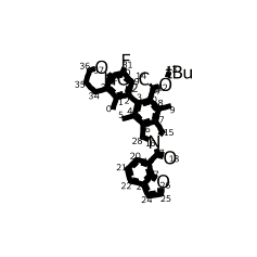 Cc1c(-c2c(C)c3c(c(C)c2[C@H](OC(C)(C)C)C(=O)O)CN(C(=O)c2cccc4ccoc24)C3)cc(F)c2c1CCCO2